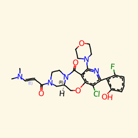 CN(C)/C=C/C(=O)N1CCN2C(=O)c3c(N4CCOCC4)nc(-c4c(O)cccc4F)c(Cl)c3OC[C@H]2C1